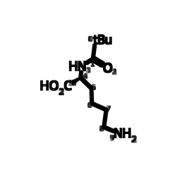 CC(C)(C)C(=O)N[C@@H](CCCCN)C(=O)O